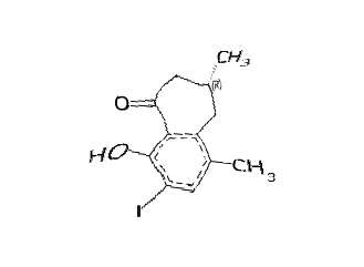 Cc1cc(I)c(O)c2c1C[C@@H](C)CC2=O